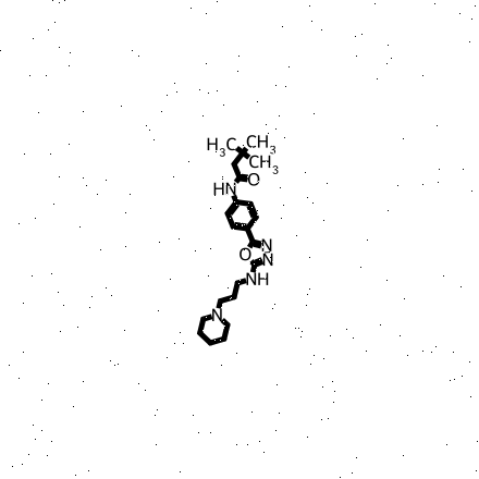 CC(C)(C)CC(=O)Nc1ccc(-c2nnc(NCCCN3CCCCC3)o2)cc1